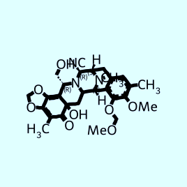 COCOc1c(OC)c(C)cc2c1[C@@H]1C3CC4(O)C(=O)C(C)=C5OCOC5=C4[C@H](CO)N3[C@@H](C#N)[C@H](C2)N1C